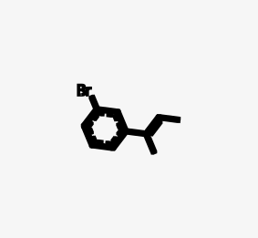 CC=C(C)c1cccc(Br)c1